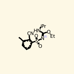 CCO/C(=N/S(=O)(=O)c1cccc(C)c1C#N)NC(C)C